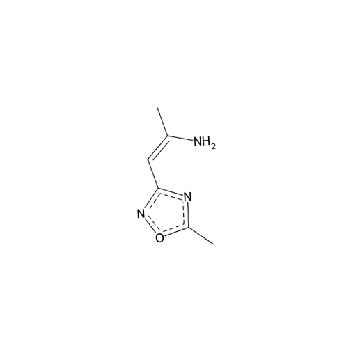 CC(N)=Cc1noc(C)n1